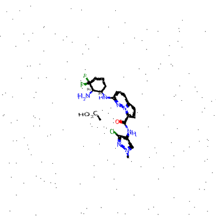 CC(=O)O.Cn1cc(NC(=O)c2ccc3ccc(N[C@@H]4CCCC(F)(F)[C@@H]4N)nn23)c(Cl)n1